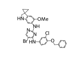 COc1cc2c(cc1Nc1ncc(Br)c(Nc3ccc(OCc4ccccc4)c(Cl)c3)n1)NCC21CC1